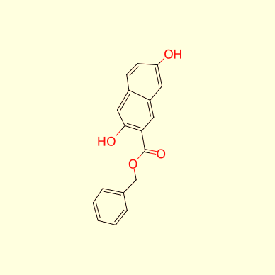 O=C(OCc1ccccc1)c1cc2cc(O)ccc2cc1O